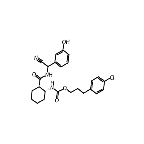 N#CC(NC(=O)[C@@H]1CCCC[C@H]1NC(=O)OCCCc1ccc(Cl)cc1)c1cccc(O)c1